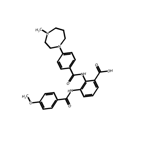 COc1ccc(C(=O)Nc2cccc(C(=O)O)c2NC(=O)c2ccc(N3CCCN(C)CC3)cc2)cc1